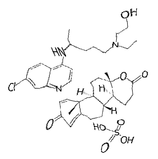 CCN(CCO)CCCC(C)Nc1ccnc2cc(Cl)ccc12.C[C@]12C=CC(=O)C=C1CC[C@@H]1[C@@H]2CC[C@]2(C)OC(=O)CC[C@@H]12.O=S(=O)(O)O